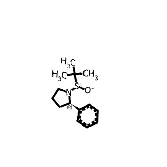 CC(C)(C)[S+]([O-])N1CCC[C@@H]1c1ccccc1